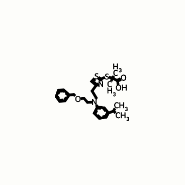 CC(C)c1cccc(N(CCOCc2ccccc2)CCc2csc(SC(C)(C)C(=O)O)n2)c1